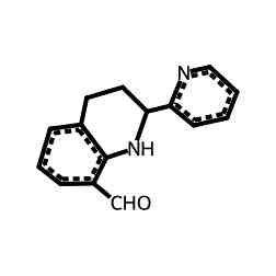 O=Cc1cccc2c1NC(c1ccccn1)CC2